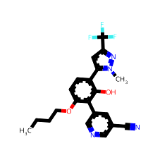 CCCCOc1ccc(-c2cc(C(F)(F)F)nn2C)c(O)c1-c1cncc(C#N)c1